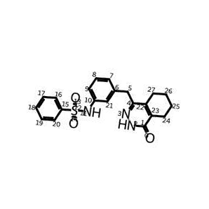 O=c1[nH]nc(Cc2cccc(NS(=O)(=O)c3ccccc3)c2)c2c1CCCC2